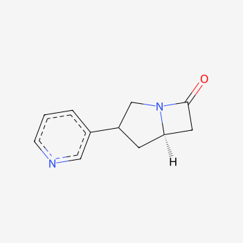 O=C1C[C@H]2CC(c3cccnc3)CN12